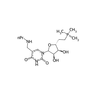 C=P(C)(C)CC[C@H]1OC(n2cc(CNCCC)c(=O)[nH]c2=O)[C@H](O)[C@@H]1O